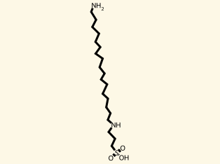 NCCCCCCCCCCCCCCCCCNCCCS(=O)(=O)O